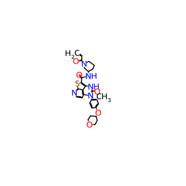 C=CC(=O)N1CCC[C@@H](NC(=O)c2sc3nccc4c3c2NC(=O)N4c2ccc(OC3CCOCC3)cc2C)C1